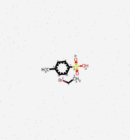 CCBr.Cc1ccc(S(=O)(=O)O)cc1